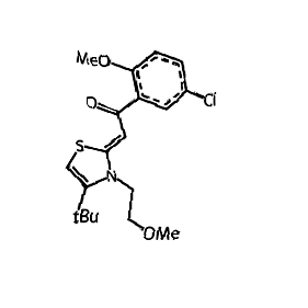 COCCN1C(C(C)(C)C)=CS/C1=C\C(=O)c1cc(Cl)ccc1OC